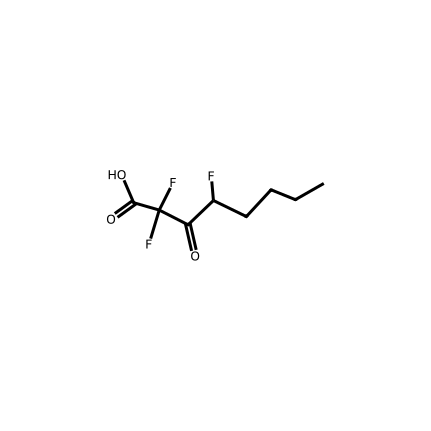 CCCCC(F)C(=O)C(F)(F)C(=O)O